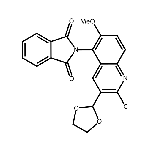 COc1ccc2nc(Cl)c(C3OCCO3)cc2c1N1C(=O)c2ccccc2C1=O